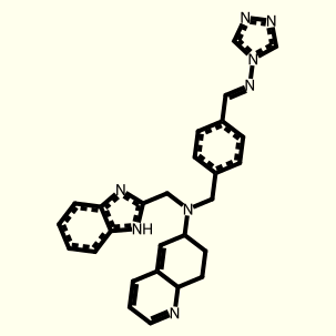 C1=CC2=CC(N(Cc3ccc(C=Nn4cnnc4)cc3)Cc3nc4ccccc4[nH]3)CCC2N=C1